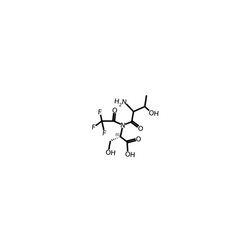 CC(O)C(N)C(=O)N(C(=O)C(F)(F)F)[C@@H](CO)C(=O)O